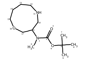 CN(C(=O)OC(C)(C)C)C1CNCCCCOC1